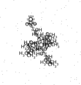 CN(C(=O)OC(C)(C)C)[C@@H]1[C@@H](O)[C@@H](O[C@H]2[C@H](NC(=O)[C@@H](O)CCNC(=O)OC(C)(C)C)C[C@H](NC(=O)OC(C)(C)C)C([C@H]3OC(CNCC(O)CCCN4C(=O)c5ccccc5C4=O)=CC[C@H]3NC(=O)OC(C)(C)C)[C@@H]2O)OC[C@]1(C)O